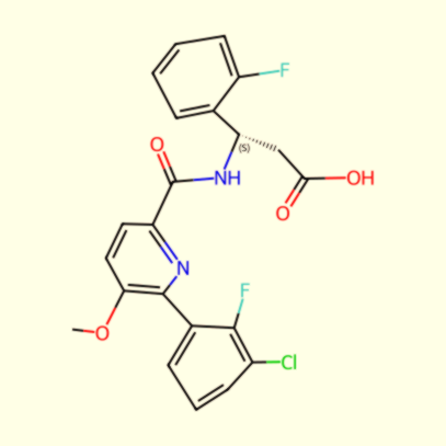 COc1ccc(C(=O)N[C@@H](CC(=O)O)c2ccccc2F)nc1-c1cccc(Cl)c1F